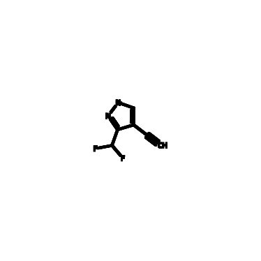 C#CC1=C[N]N=C1C(F)F